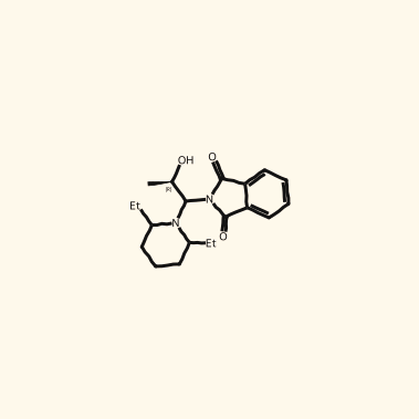 CCC1CCCC(CC)N1C([C@@H](C)O)N1C(=O)c2ccccc2C1=O